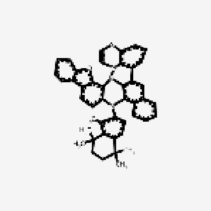 Cc1c(N2c3ccc4c(oc5ccccc54)c3B3c4c(cc5ccccc5c42)-c2cccc4c2N3c2ccccc2S4)ccc2c1C(C)(C)CCC2(C)C